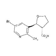 Cc1ncc(Br)cc1[C@H]1OCC[C@@H]1C(=O)O